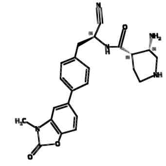 Cn1c(=O)oc2ccc(-c3ccc(C[C@@H](C#N)NC(=O)[C@H]4CCNC[C@H]4N)cc3)cc21